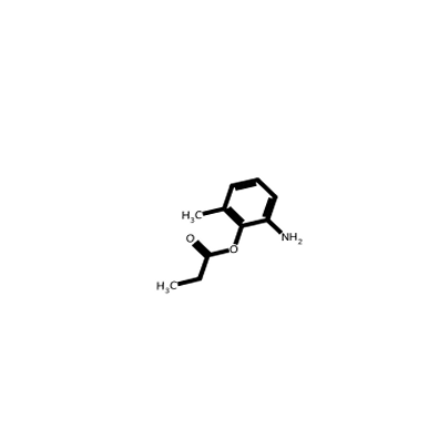 CCC(=O)Oc1c(C)cccc1N